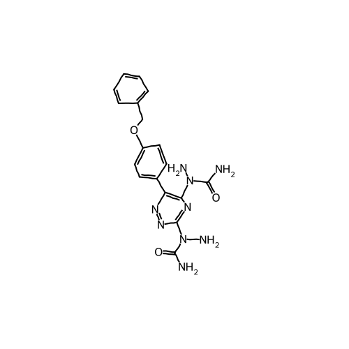 NC(=O)N(N)c1nnc(-c2ccc(OCc3ccccc3)cc2)c(N(N)C(N)=O)n1